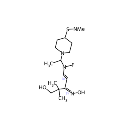 CNSC1CCN(C(C)N(F)/C=C/C(=N\O)C(C)(C)CO)CC1